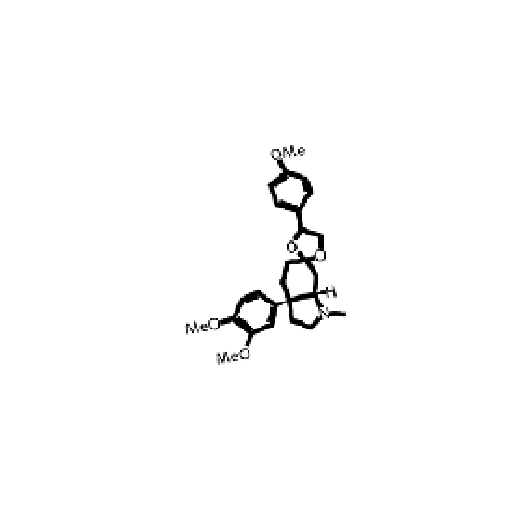 COc1ccc(C2COC3(CC[C@@]4(c5ccc(OC)c(OC)c5)CCN(C)[C@H]4C3)O2)cc1